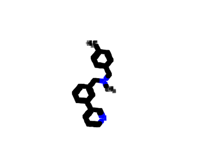 [CH2]c1ccc(CN(C)Cc2cccc(-c3cccnc3)c2)cc1